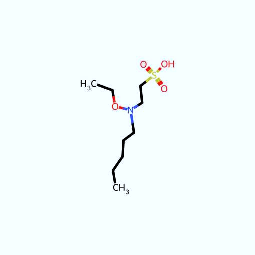 CCCCCN(CCS(=O)(=O)O)OCC